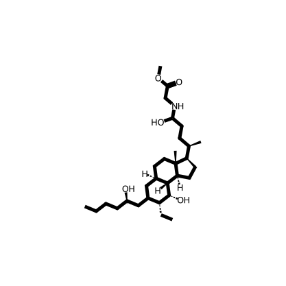 CCCC[C@@H](O)CC1C[C@H]2CC[C@]3(C)[C@@H]([C@H](C)CCC(O)NCC(=O)OC)CC[C@H]3[C@@H]2[C@H](O)[C@@H]1CC